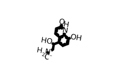 [CH2-][NH2+]CC(O)c1ccc(O)c2[nH]c(=O)ccc12